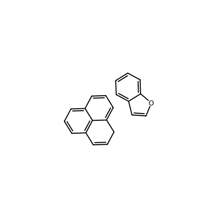 C1=Cc2cccc3cccc(c23)C1.c1ccc2occc2c1